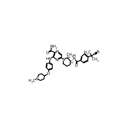 C[C@@H]1[C@H](NC(=O)c2ccc(C(C)(C)C#N)cc2)CCCN1c1cnc(C(N)=O)c(Nc2ccc(OC3CCN(C)CC3)cc2)n1